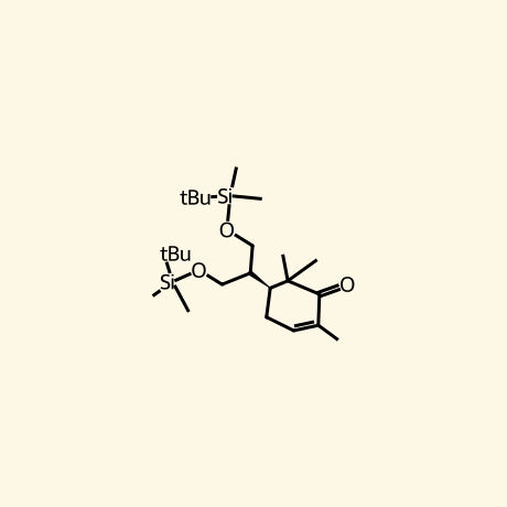 CC1=CC[C@@H](C(CO[Si](C)(C)C(C)(C)C)CO[Si](C)(C)C(C)(C)C)C(C)(C)C1=O